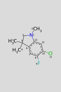 CN1CC(C)(C)c2cc(F)c(Cl)cc21